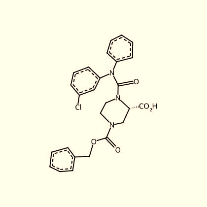 O=C(O)[C@@H]1CN(C(=O)OCc2ccccc2)CCN1C(=O)N(c1ccccc1)c1cccc(Cl)c1